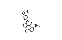 COc1ccc(Oc2cccc3c2C(=O)c2c(N)cccc2C3=O)cc1